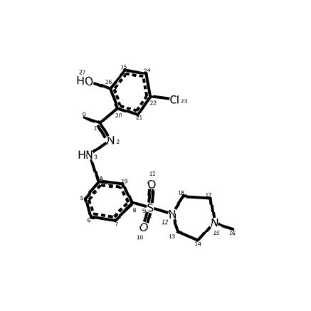 C/C(=N\Nc1cccc(S(=O)(=O)N2CCN(C)CC2)c1)c1cc(Cl)ccc1O